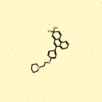 CC(=O)C1(O)C=Cc2c3c(c(-c4ccc(OCCN5CCCCC5)cc4)cc2=C1)=CCC=C3